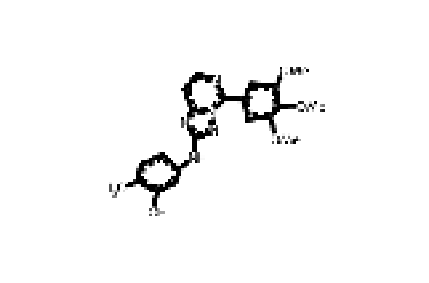 COc1cc(-c2nccc3nc(Nc4ccc(C)c(O)c4)nn23)cc(OC)c1OC